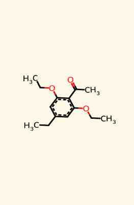 CCOc1cc(CC)cc(OCC)c1C(C)=O